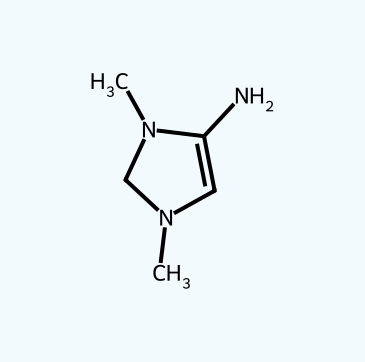 CN1C=C(N)N(C)C1